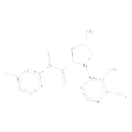 Cc1cccc(N(C)C(=O)[C@@H]2C[C@H](O)CN2c2nccc(C(F)(F)F)c2C#N)c1